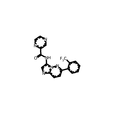 O=C(Nc1cnc2ccc(-c3ccccc3C(F)(F)F)nn12)c1cnccn1